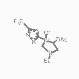 CCN1CC(OC(C)=O)[N+]([O-])(c2nnc(C(F)(F)F)s2)C1